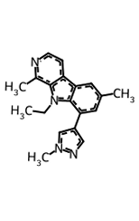 CCn1c2c(-c3cnn(C)c3)cc(C)cc2c2ccnc(C)c21